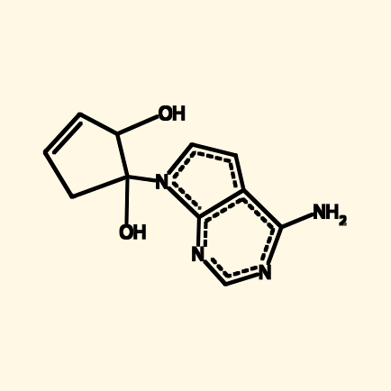 Nc1ncnc2c1ccn2C1(O)CC=CC1O